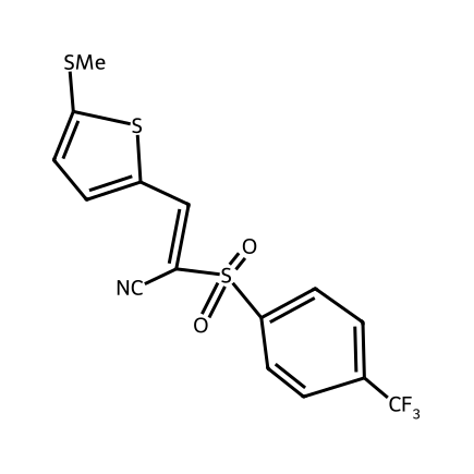 CSc1ccc(C=C(C#N)S(=O)(=O)c2ccc(C(F)(F)F)cc2)s1